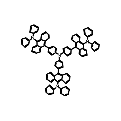 c1ccc(N(c2ccccc2)c2c3ccccc3c(-c3ccc(N(c4ccc(-c5c6ccccc6c(N(c6ccccc6)c6ccccc6)c6ccccc56)cc4)c4ccc(-c5c6ccccc6c(N(c6ccccc6)c6ccccc6)c6ccccc56)cc4)cc3)c3ccccc23)cc1